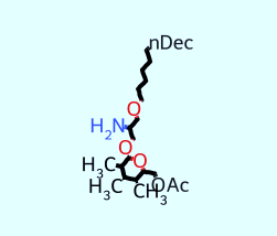 CCCCCCCCCCCCCCCCOCC(N)CO[C@@H]1OC(COC(C)=O)[C@@H](C)[C@H](C)C1C